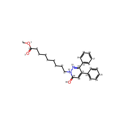 COC(=O)CCCCCCCCn1nc(-c2ccccc2)c(-c2ccccc2)cc1=O